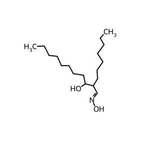 CCCCCCCCC(O)C(/C=N/O)CCCCCCC